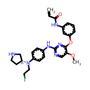 C=CC(=O)Nc1cccc(Oc2nc(Nc3ccc(N(CCF)[C@@H]4CCNC4)cc3)ncc2OC)c1